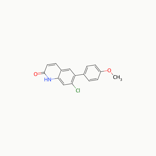 COc1ccc(-c2cc3ccc(=O)[nH]c3cc2Cl)cc1